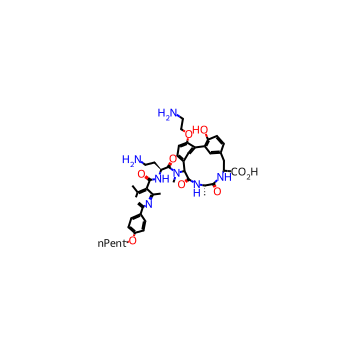 C=C(/N=C(/C)C(C(=O)N[C@@H](CCN)C(=O)N(C)C1C(=O)N[C@@H](C)C(=O)NC(C(=O)O)Cc2ccc(O)c(c2)-c2cc1ccc2OCCN)=C(C)C)c1ccc(OCCCCC)cc1